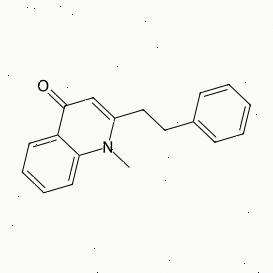 Cn1c(CCc2ccccc2)cc(=O)c2ccccc21